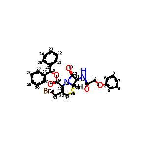 O=C(COc1ccccc1)N[C@@H]1C(=O)N2C(C(=O)OC(c3ccccc3)c3ccccc3)=C(CBr)CS[C@H]12